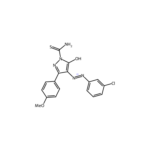 COc1ccc(-c2nn(C(N)=S)c(O)c2/N=N/c2cccc(Cl)c2)cc1